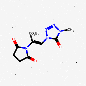 CCOC(=O)/C(=C\n1nnn(C)c1=O)N1C(=O)CCC1=O